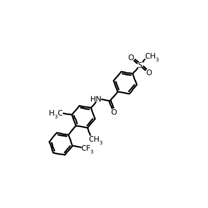 Cc1cc(NC(=O)c2ccc(S(C)(=O)=O)cc2)cc(C)c1-c1ccccc1C(F)(F)F